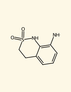 [NH]c1cccc2c1NS(=O)(=O)CC2